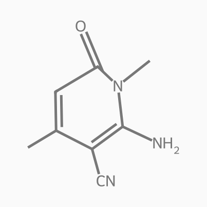 Cc1cc(=O)n(C)c(N)c1C#N